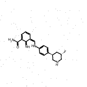 N=C1C(C(N)=O)=CC=C/C1=C/Nc1ccc([C@@H]2CNC[C@@H](F)C2)cc1